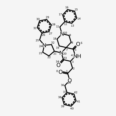 O=C(CC1NC(=O)C2(CCN(Cc3ccccc3)CC2)N(C2CCN(Cc3ccccc3)C2)C1=O)OCc1ccccc1